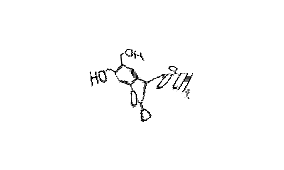 CC(=O)OCc1cc(=O)oc2cc(CO)c(CO)cc12